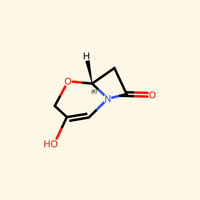 O=C1C[C@H]2OCC(O)=CN12